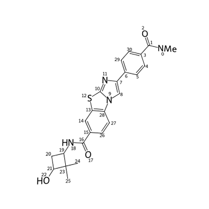 CNC(=O)c1ccc(-c2cn3c(n2)sc2cc(C(=O)NC4CC(O)C4(C)C)ccc23)cc1